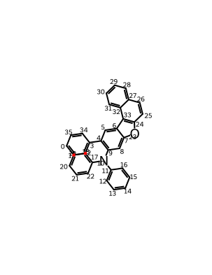 c1ccc(-c2cc3c(cc2N(c2ccccc2)c2ccccc2)oc2ccc4ccccc4c23)cc1